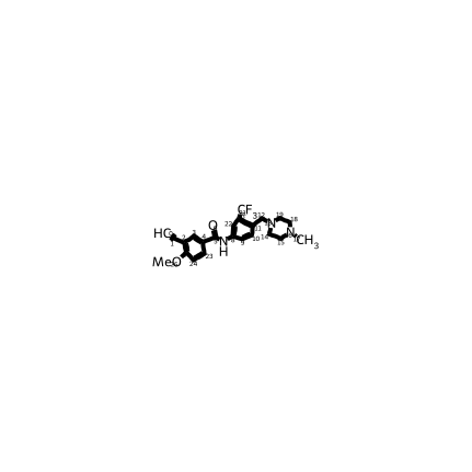 C#Cc1cc(C(=O)Nc2ccc(CN3CCN(C)CC3)c(C(F)(F)F)c2)ccc1OC